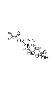 C=C(C)C(=O)OCC[N+](CC)(CC)CC(O)CS(=O)(=O)O